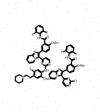 COc1cc(CCN2CCCCC2)c(F)cc1Nc1nccc(-c2c(-c3ccc(OC)c(C(=O)Nc4c(F)cccc4F)c3)nc3ccccn23)n1.COc1ccc(-c2nc3ccccn3c2-c2ccnc(Cl)n2)cc1C(=O)Nc1c(F)cccc1F